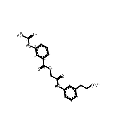 CCOC(=O)CCc1cccc(NC(=O)CNC(=O)c2cccc(NC(N)=S)c2)c1